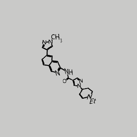 CCN1CCC(n2cc(C(=O)Nc3cc4cc(-c5cnn(C)c5)ccc4cn3)cn2)CC1